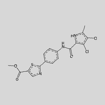 COC(=O)c1cnc(-c2ccc(NC(=O)c3[nH]c(C)c(Cl)c3Cl)cc2)s1